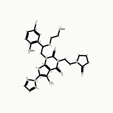 COCCOC(Cn1c(=O)n(CCN2CCCC2=O)c(=O)c2c(C)c(-n3nccn3)sc21)c1cc(F)ccc1OC